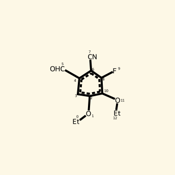 CCOc1cc(C=O)c(C#N)c(F)c1OCC